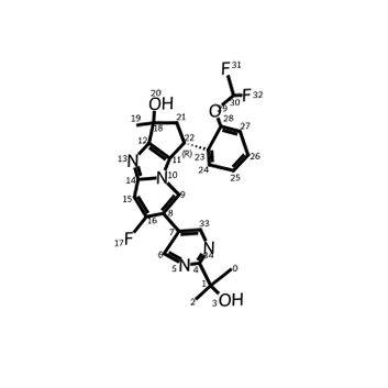 CC(C)(O)c1ncc(-c2cn3c4c(nc3cc2F)C(C)(O)C[C@@H]4c2ccccc2OC(F)F)cn1